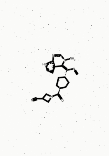 C=N/C(=C1/c2cc[nH]c2N=CN1N)[C@H]1CC[C@H](C(=O)N2CC(C#N)C2)CC1